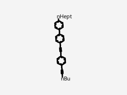 CCCCC#Cc1ccc(C#Cc2ccc(-c3ccc(CCCCCCC)cc3)cc2)cc1